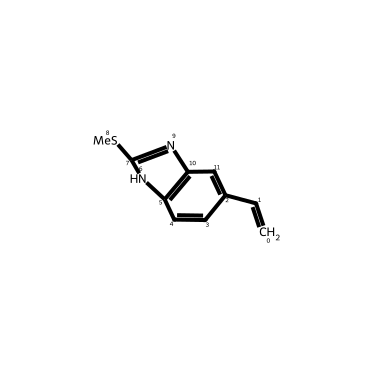 C=Cc1ccc2[nH]c(SC)nc2c1